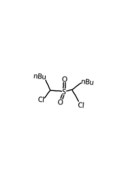 CCCCC(Cl)S(=O)(=O)C(Cl)CCCC